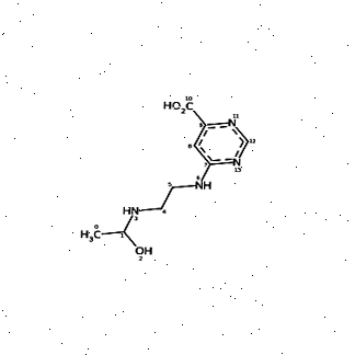 CC(O)NCCNc1cc(C(=O)O)ncn1